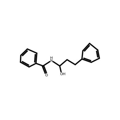 O=C(NC(O)CCc1ccccc1)c1ccccc1